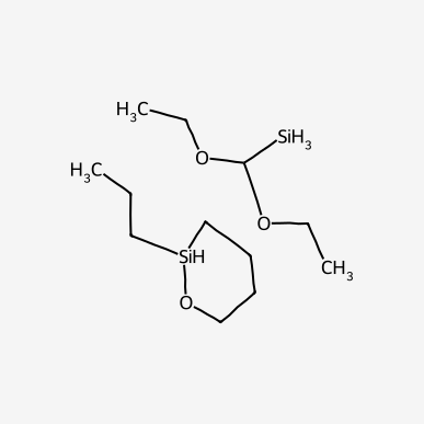 CCC[SiH]1CCCCO1.CCOC([SiH3])OCC